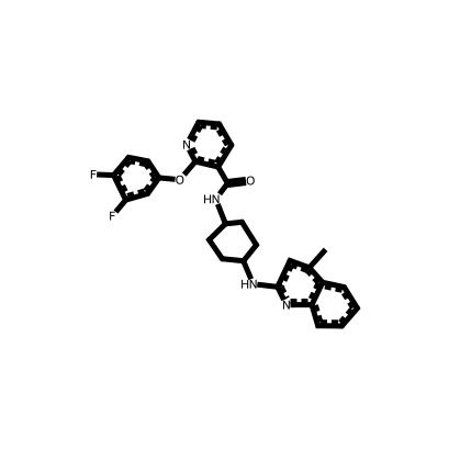 Cc1cc(NC2CCC(NC(=O)c3cccnc3Oc3ccc(F)c(F)c3)CC2)nc2ccccc12